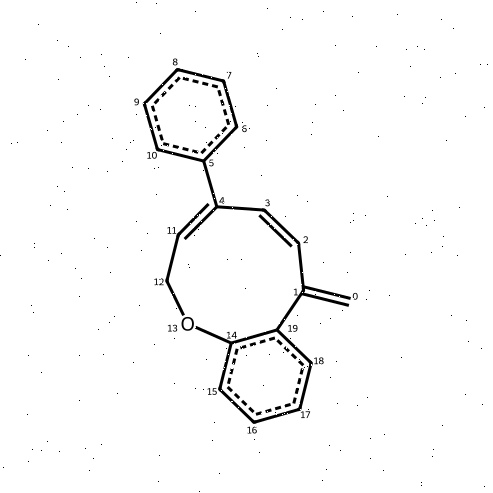 C=C1/C=C\C(c2ccccc2)=C/COc2ccccc21